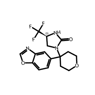 O=C1N[C@H](C(F)(F)F)CN1C1(c2ccc3ocnc3c2)CCOCC1